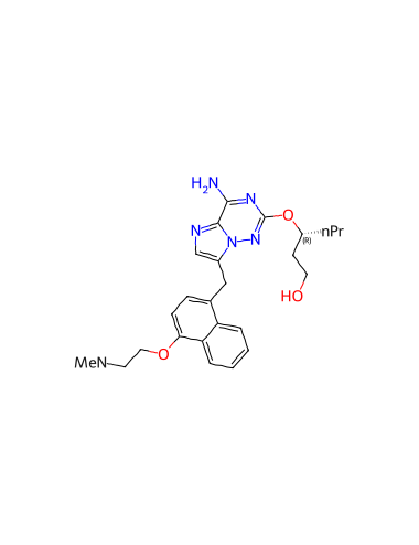 CCC[C@H](CCO)Oc1nc(N)c2ncc(Cc3ccc(OCCNC)c4ccccc34)n2n1